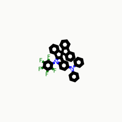 Fc1c(F)c(F)c(-n2c3c(c4cc(N(c5ccccc5)c5ccccc5)ccc42)C2(c4ccccc4-c4ccccc42)c2ccccc2-3)c(F)c1F